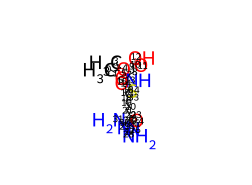 CCC(C)OC(=O)C(CCC(=O)O)NC(=O)c1cc(CCCc2coc3nc(N)nc(N)c23)cs1